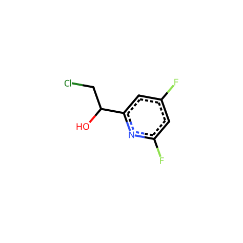 OC(CCl)c1cc(F)cc(F)n1